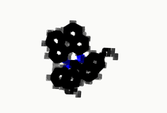 Cc1cccc(N2c3ccc4ccccc4c3-c3c(ccc4ccccc34)N(c3cccc(C)c3)[Si]2(c2ccccc2)c2ccccc2)c1